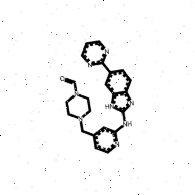 O=CN1CCN(Cc2ccnc(Nc3nc4ccc(-c5ncccn5)cc4[nH]3)c2)CC1